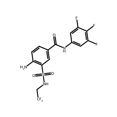 Nc1ccc(C(=O)Nc2cc(F)c(F)c(F)c2)cc1S(=O)(=O)NCC(F)(F)F